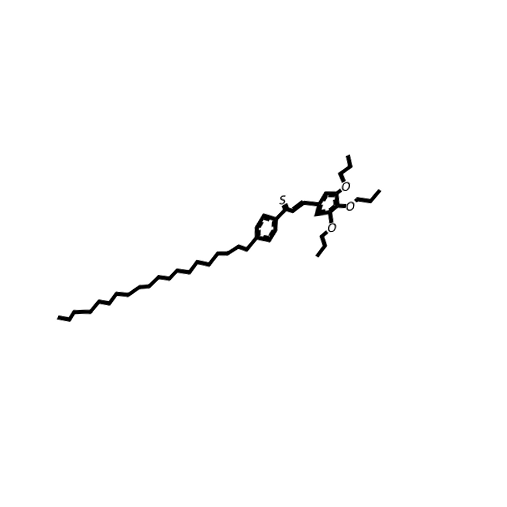 CCCCCCCCCCCCCCCCCCCCc1ccc(C(=S)C=Cc2cc(OCCC)c(OCCC)c(OCCC)c2)cc1